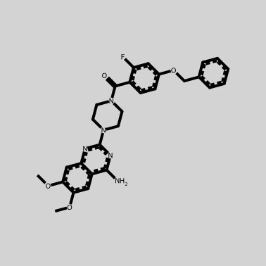 COc1cc2nc(N3CCN(C(=O)c4ccc(OCc5ccccc5)cc4F)CC3)nc(N)c2cc1OC